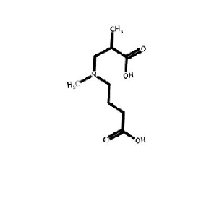 CC(CN(C)CCCC(=O)O)C(=O)O